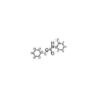 [CH2]c1ccccc1NC(=O)OCc1ccccc1